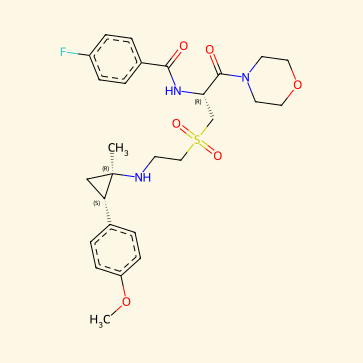 COc1ccc([C@@H]2C[C@@]2(C)NCCS(=O)(=O)C[C@H](NC(=O)c2ccc(F)cc2)C(=O)N2CCOCC2)cc1